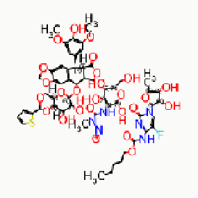 CCCCCOC(=O)Nc1nc(=O)n([C@@H]2O[C@H](C)[C@@H](O)[C@H]2O)cc1F.CN(N=O)C(=O)N[C@@H]1[C@@H](O)[C@H](O)[C@@H](CO)O[C@@H]1O.COc1cc([C@@H]2c3cc4c(cc3C(O[C@@H]3O[C@@H]5COC(c6cccs6)O[C@H]5[C@H](O)[C@H]3O)C3COC(=O)[C@@H]32)OCO4)cc(OC)c1O